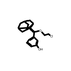 Oc1cccc(C(OCCCl)=C2C3CC4CC(C3)CC2C4)c1